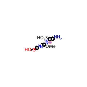 COc1cc(/N=N/c2ccc(OCCO)cc2)c(C)cc1N/N=C1\C(=O)c2ccc(N)cc2C=C1S(=O)(=O)O